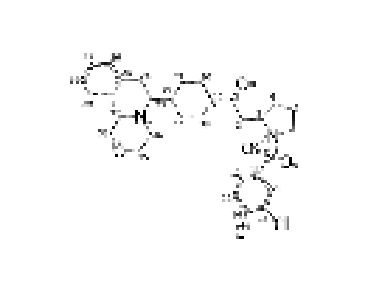 O=C(CC1CCCN1S(=O)(=O)c1ccc(Cl)c(Cl)c1)N1CCC(C(Cc2ccccc2)N2CCOCC2)CC1